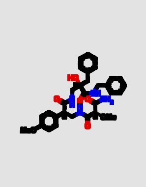 COc1ccc([C@H](CNC(=O)[C@@H](OC)C(N)=O)C(=O)NC[C@](O)(Cc2ccccc2)C(=O)NCc2ccccc2)cc1